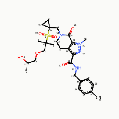 C[C@H](O)COCC(C)(C)S(=O)(=O)C1(CN2CCc3c(C(=O)NCc4ccc(C#N)cc4)nn(C)c3C2=O)CC1